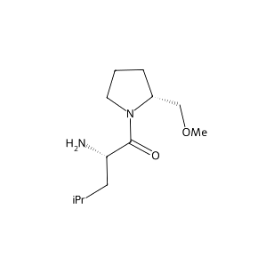 COC[C@H]1CCCN1C(=O)[C@@H](N)CC(C)C